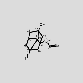 C=COC12CC3CC(F)(CC(F)(C3)C1)C2